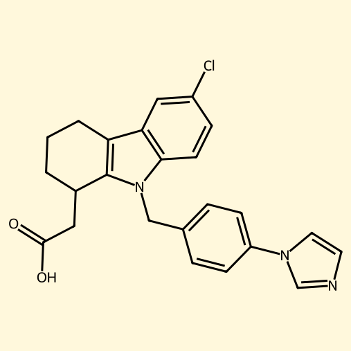 O=C(O)CC1CCCc2c1n(Cc1ccc(-n3ccnc3)cc1)c1ccc(Cl)cc21